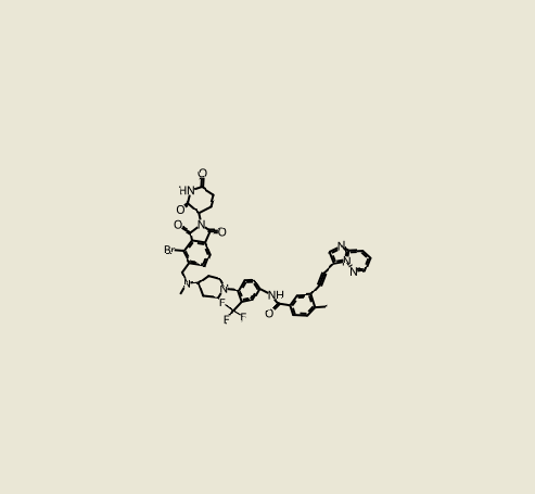 Cc1ccc(C(=O)Nc2ccc(N3CCC(N(C)Cc4ccc5c(c4Br)C(=O)N(C4CCC(=O)NC4=O)C5=O)CC3)c(C(F)(F)F)c2)cc1C#Cc1cnc2cccnn12